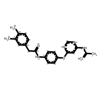 C=C(C)Nc1cc(Oc2ccc(NC(=O)Cc3ccc(C)c(C)c3)cc2)ncn1